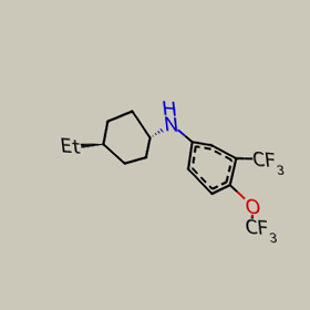 CC[C@H]1CC[C@H](Nc2ccc(OC(F)(F)F)c(C(F)(F)F)c2)CC1